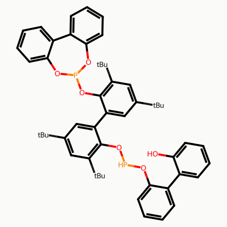 CC(C)(C)c1cc(-c2cc(C(C)(C)C)cc(C(C)(C)C)c2Op2oc3ccccc3c3ccccc3o2)c(OPOc2ccccc2-c2ccccc2O)c(C(C)(C)C)c1